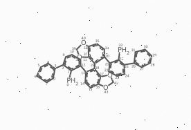 Pc1c(-c2ccccc2)cccc1-c1ccc2c(c1-c1c(-c3cccc(-c4ccccc4)c3P)ccc3c1OCO3)OCO2